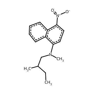 CCC(C)CN(C)c1ccc([N+](=O)[O-])c2ccccc12